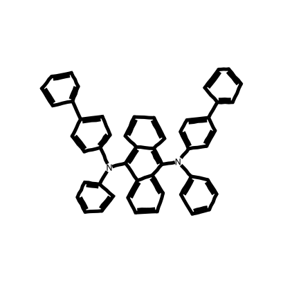 c1ccc(-c2ccc(N(c3ccccc3)c3c4ccccc4c(N(c4ccccc4)c4ccc(-c5ccccc5)cc4)c4ccccc34)cc2)cc1